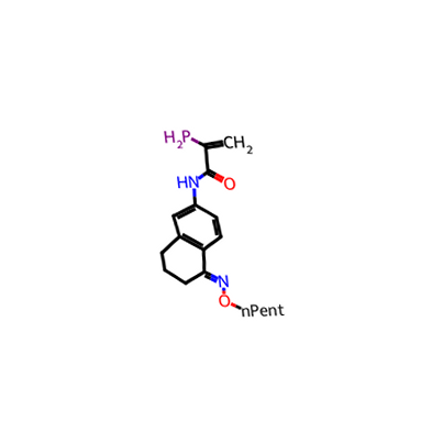 C=C(P)C(=O)Nc1ccc2c(c1)CCC/C2=N\OCCCCC